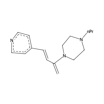 C=C(/C=C/c1ccncc1)N1CCN(CCC)CC1